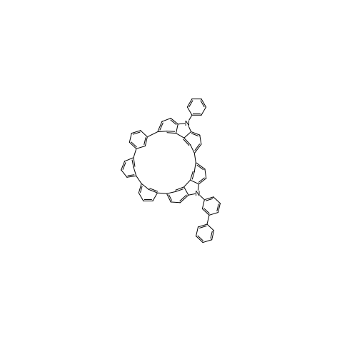 c1ccc(-c2cccc(-n3c4ccc5cc4c4cc(ccc43)c3ccc4c(c3)c3cc(ccc3n4-c3ccccc3)c3cccc(c3)c3cccc(c3)c3cccc5c3)c2)cc1